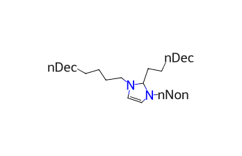 CCCCCCCCCCCCCCN1C=CN(CCCCCCCCC)C1CCCCCCCCCCCC